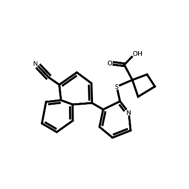 N#Cc1ccc(-c2cccnc2SC2(C(=O)O)CCC2)c2ccccc12